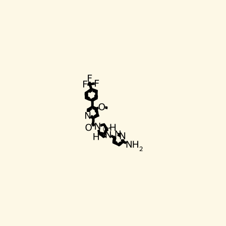 COc1cc(C(=O)N2C[C@@H]3C[C@H]2CN3c2ccc(N)nn2)ncc1-c1ccc(C(F)(F)F)cc1